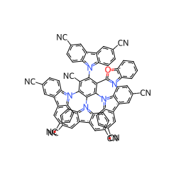 N#Cc1ccc2c(c1)c1cc(C#N)ccc1n2-c1c(C#N)c(-n2c3ccc(C#N)cc3c3cc(C#N)ccc32)c(-n2c3ccc(C#N)cc3c3cc(C#N)ccc32)c(-n2c3ccc(C#N)cc3c3cc(C#N)ccc32)c1-c1nc2ccccc2o1